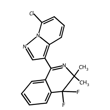 CC1(C)N=C(c2cnn3c(Cl)cccc23)c2ccccc2C1(F)F